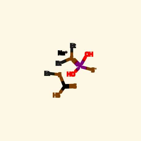 CCS(CC)=P(O)(O)[S-].CCSC(=S)S.[Na+]